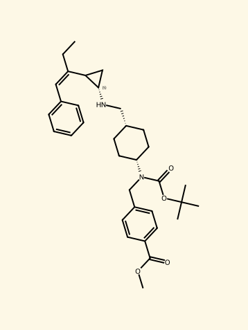 CCC(=Cc1ccccc1)C1C[C@@H]1NC[C@H]1CC[C@@H](N(Cc2ccc(C(=O)OC)cc2)C(=O)OC(C)(C)C)CC1